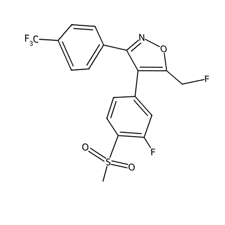 CS(=O)(=O)c1ccc(-c2c(-c3ccc(C(F)(F)F)cc3)noc2CF)cc1F